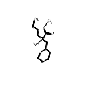 CCCCC(N)(CC1CCCCC1)C(=O)OC